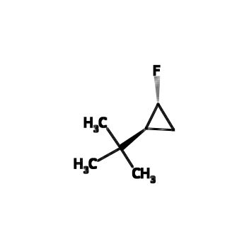 CC(C)(C)[C@@H]1C[C@H]1F